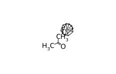 CC(C)=O.[CH]12[CH]3[CH]4[CH]5[CH]1[Fe]23451678[CH]2[CH]1[CH]6[CH]7[CH]28